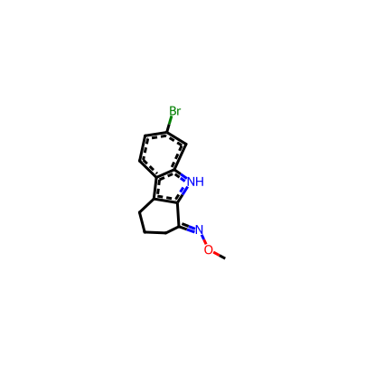 CO/N=C1\CCCc2c1[nH]c1cc(Br)ccc21